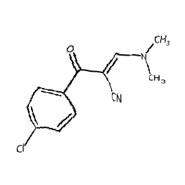 CN(C)/C=C(\C#N)C(=O)c1ccc(Cl)cc1